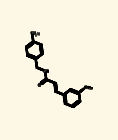 COc1cccc(C=CC(=O)NCc2ccc(C(=O)O)cc2)c1